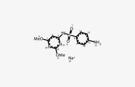 COc1cc([N-]S(=O)(=O)c2ccc(N)cc2)nc(OC)n1.[Na+]